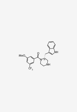 COc1cc(C(=O)N2CCNC[C@H]2Cc2c[nH]c3ccccc23)cc(C(F)(F)F)c1